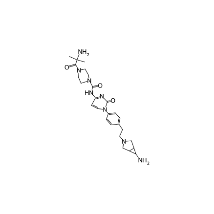 CC(C)(N)C(=O)N1CCN(C(=O)Nc2ccn(-c3ccc(CCN4CC5C(N)C5C4)cc3)c(=O)n2)CC1